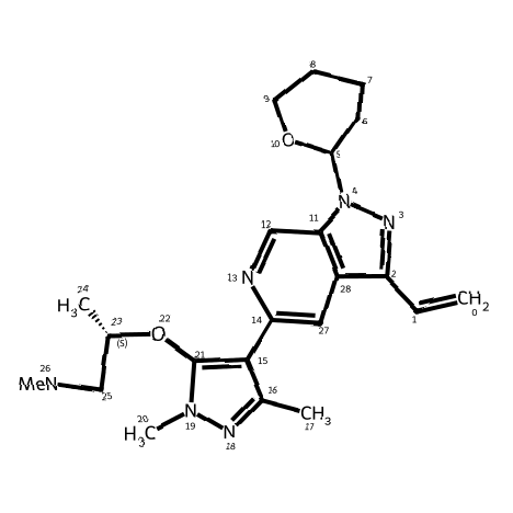 C=Cc1nn(C2CCCCO2)c2cnc(-c3c(C)nn(C)c3O[C@@H](C)CNC)cc12